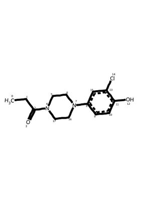 CCC(=O)N1CCN(c2ccc(O)c(Cl)c2)CC1